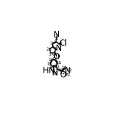 N#Cc1cc2c(nc1Cl)C(Oc1ccc3[nH]nc(-c4cnco4)c3c1)CC2